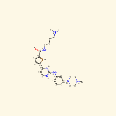 CN(C)CCCCNC(=O)c1ccc(-c2ccnc(Nc3cccc(N4CCN(C)CC4)c3)n2)s1